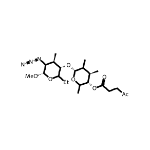 CCC1O[C@H](OC)C(N=[N+]=[N-])[C@@H](C)[C@@H]1O[C@H]1OC(C)[C@@H](OC(=O)CCC(C)=O)[C@H](C)C1C